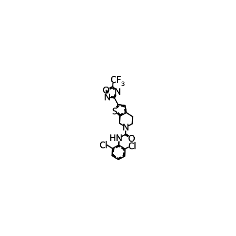 O=C(Nc1c(Cl)cccc1Cl)N1CCc2cc(-c3noc(C(F)(F)F)n3)sc2C1